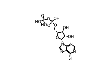 O=P(O)(O)OP(=O)(O)OC[C@H]1O[C@@H](n2cnc3c(S)ncnc32)[C@H](O)[C@@H]1O